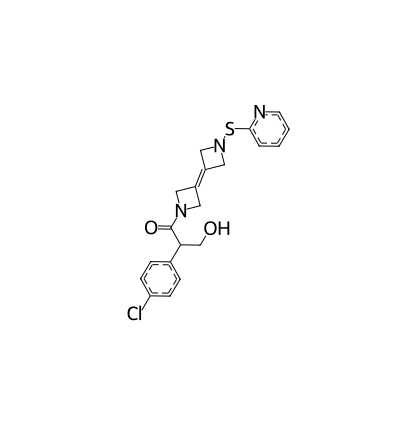 O=C(C(CO)c1ccc(Cl)cc1)N1CC(=C2CN(Sc3ccccn3)C2)C1